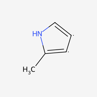 Cc1[c][c]c[nH]1